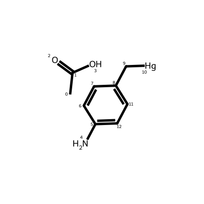 CC(=O)O.Nc1ccc([CH2][Hg])cc1